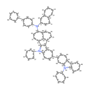 c1ccc(-c2ccc(N(c3ccc4ccccc4c3)c3ccc4c5c(cccc35)-c3c-4n(-c4ccccc4)c4ccc(-c5ccc6c7ccccc7n(-c7ccccc7)c6c5)cc34)cc2)cc1